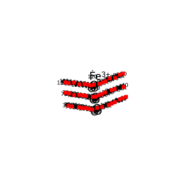 CCCCCCCCC=CCCCCCCCCOP(=O)([O-])CCCCCCCCC=CCCCCCCCC.CCCCCCCCC=CCCCCCCCCOP(=O)([O-])CCCCCCCCC=CCCCCCCCC.CCCCCCCCC=CCCCCCCCCOP(=O)([O-])CCCCCCCCC=CCCCCCCCC.[Fe+3]